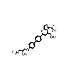 C[C@H](O)c1nccn1C(C=C(F)c1ccc(-c2ccc(OC[C@H](O)CN)cc2)cc1)CO